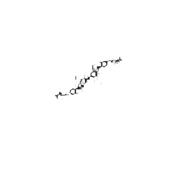 C=C(C)C(=O)OCOc1ccc(C(=O)Oc2c(F)cc(C(c3cc(F)c(OC(=O)c4ccc(OCOC(=O)C(=C)C)cc4C)c(F)c3)(C(F)(F)F)C(F)(F)F)cc2F)c(C)c1